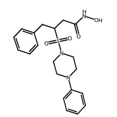 O=C(CC(Cc1ccccc1)S(=O)(=O)N1CCN(c2ccccc2)CC1)NO